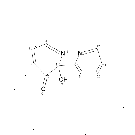 O=C1C=CC=NC1(O)c1ccccn1